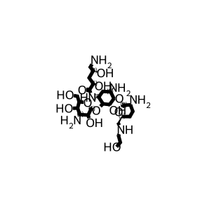 NC[C@H](O)C[C@H](O)C(=O)N[C@@H]1C[C@H](N)C(O[C@H]2O[C@H](CNCCO)CCC2N)C(O)C1O[C@H]1OC(CO)C(O)[C@H](N)C1O